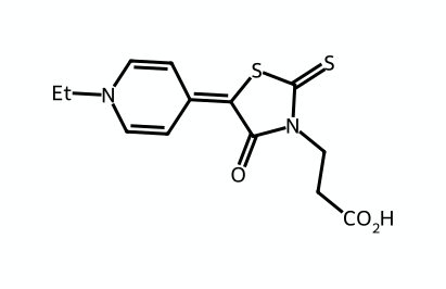 CCN1C=CC(=C2SC(=S)N(CCC(=O)O)C2=O)C=C1